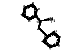 N[C@@H](Cc1ccccn1)c1ccccc1